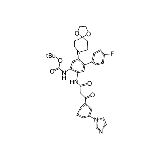 CC(C)(C)OC(=O)Nc1cc(N2CCC3(CC2)OCCO3)c(-c2ccc(F)cc2)cc1NC(=O)CC(=O)c1cccc(-n2ccnc2)c1